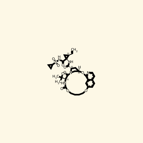 C=C[C@@H]1C[C@]1(NC(=O)[C@@H]1C[C@@H]2CN1C(=O)[C@H](C(C)(C)C)NC(=O)OCCCCOc1ccc3ccnc(c3c1)O2)C(=O)NS(=O)(=O)C1CC1